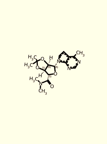 Cc1ncnc2c1ccn2[C@@H]1O[C@H](C(=O)N(C)C)[C@H]2OC(C)(C)O[C@H]21